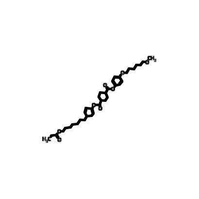 CCC(=O)OCCCCCCCC1C=CC(OC(=O)C2CCC(C(=O)Oc3ccc(OCCCCCCOC)cc3)CC2)=CC1